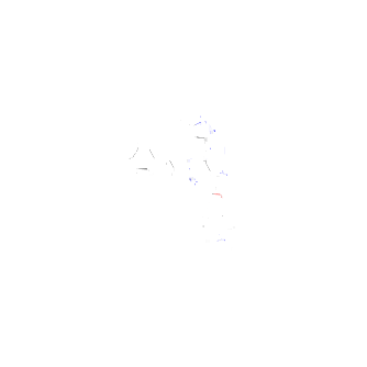 Cc1cc(Nc2nc(/C=C/c3ccccc3)nc(C(=O)OC3CCN(C)CC3)c2N)[nH]n1